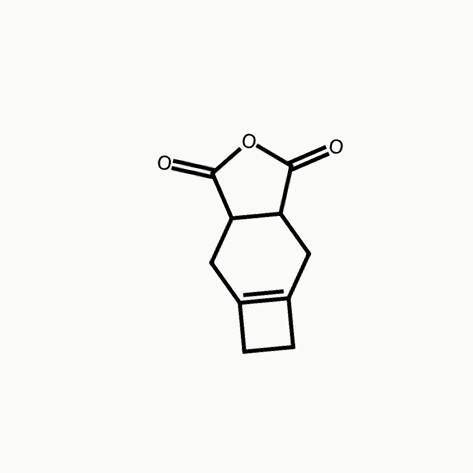 O=C1OC(=O)C2CC3=C(CC3)CC12